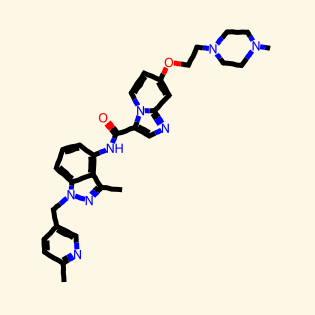 Cc1ccc(Cn2nc(C)c3c(NC(=O)c4cnc5cc(OCCN6CCN(C)CC6)ccn45)cccc32)cn1